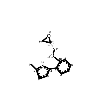 Cc1ccc(-c2ccccc2OC[C@@H]2CO2)s1